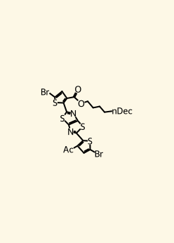 CCCCCCCCCCCCCCOC(=O)c1cc(Br)sc1-c1nc2sc(-c3sc(Br)cc3C(C)=O)nc2s1